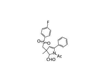 CC(=O)N1C(c2ccccc2)=CC(C)(CS(=O)(=O)c2ccc(F)cc2)C1C=O